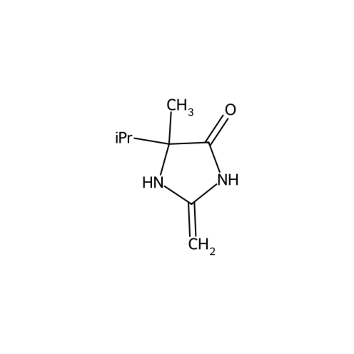 C=C1NC(=O)C(C)(C(C)C)N1